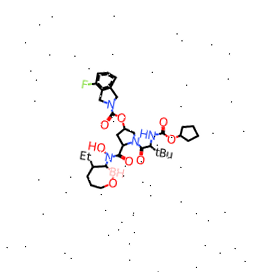 CCC1CCCOBC1N(O)C(=O)C1CC(OC(=O)N2Cc3cccc(F)c3C2)CN1C(=O)C(NC(=O)OC1CCCC1)C(C)(C)C